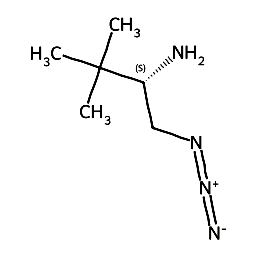 CC(C)(C)[C@H](N)CN=[N+]=[N-]